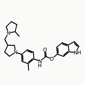 Cc1cc(N2CCC(CN3CCCC3C)C2)ccc1NC(=O)Oc1ccc2cc[nH]c2c1